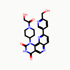 O=C(CO)N1CCC(n2c(=O)[nH]c(=O)c3cnc4ccc(-c5ccc(CO)nc5)nc4c32)CC1